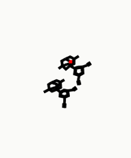 C#Cc1cc(C#C)cc(C23CC4CC(C)(CC(C)(C4)C2)C3)c1.C#Cc1cc(C#C)cc(C23CC4CC(C)(CC(C)(C4)C2)C3)c1